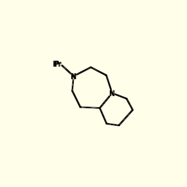 CC(C)N1CCC2CCCCN2CC1